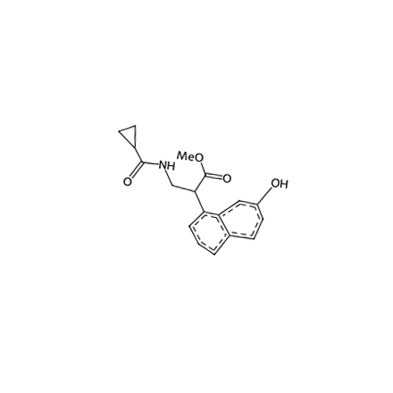 COC(=O)C(CNC(=O)C1CC1)c1cccc2ccc(O)cc12